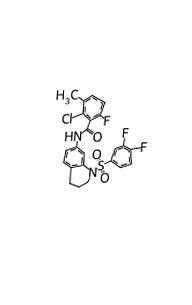 Cc1ccc(F)c(C(=O)Nc2ccc3c(c2)N(S(=O)(=O)c2ccc(F)c(F)c2)CCC3)c1Cl